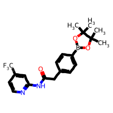 CC1(C)OB(c2ccc(CC(=O)Nc3cc(C(F)(F)F)ccn3)cc2)OC1(C)C